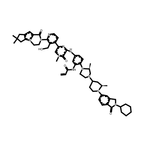 C=CC(=O)Nc1cc(Nc2nc(-c3ccnc(N4CCn5c(cc6c5CC(C)(C)C6)C4=O)c3CO)cn(C)c2=O)ccc1N1CCN(C2CCN(c3ccc4c(c3)CN(C3CCCCC3)C4=O)[C@H](C)C2)C[C@@H]1C